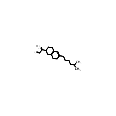 C=C(C=O)C1CCC2=C(CCC(CCCCC(C)C)=C2)C1